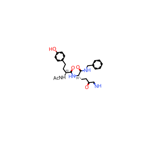 CC(=O)N[C@@H](CCc1ccc(O)cc1)C(=O)N[C@@H](CCC(=O)C=N)C(=O)NCc1ccccc1